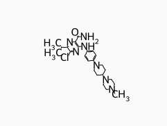 CC(C)c1nc(C(N)=O)c(Nc2ccc(N3CCC(N4CCN(C)CC4)CC3)cc2)nc1Cl